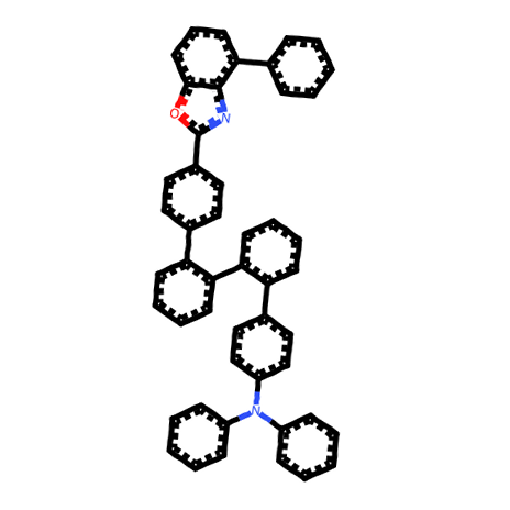 c1ccc(-c2cccc3oc(-c4ccc(-c5ccccc5-c5ccccc5-c5ccc(N(c6ccccc6)c6ccccc6)cc5)cc4)nc23)cc1